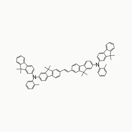 Cc1ccccc1N(c1ccc2c(c1)C(C)(C)c1ccccc1-2)c1ccc2c(c1)C(C)(C)c1cc(/C=C/c3ccc4c(c3)C(C)(C)c3cc(N(c5ccc6c(c5)C(C)(C)c5ccccc5-6)c5ccccc5C)ccc3-4)ccc1-2